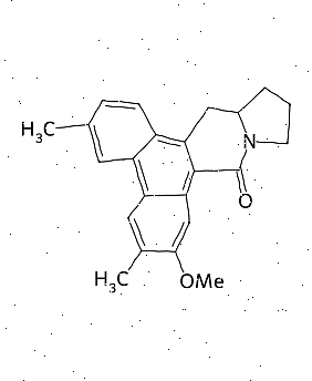 COc1cc2c3c(c4ccc(C)cc4c2cc1C)CC1CCCN1C3=O